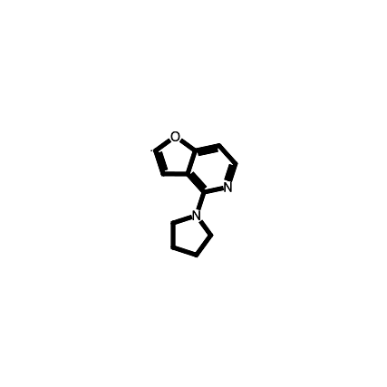 [c]1cc2c(N3CCCC3)nccc2o1